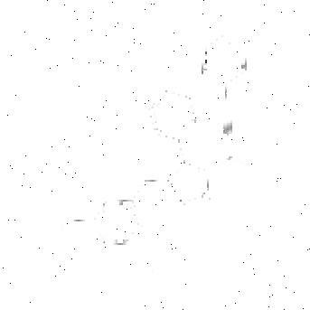 O=C(C#Cc1ccccc1Cl)c1nnn(Cc2cc(C(F)(F)F)cc(C(F)(F)F)c2)c1-c1ccccc1